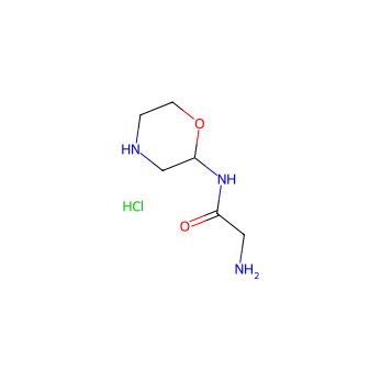 Cl.NCC(=O)NC1CNCCO1